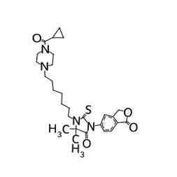 CC1(C)C(=O)N(c2ccc3c(c2)COC3=O)C(=S)N1CCCCCCCN1CCN(C(=O)C2CC2)CC1